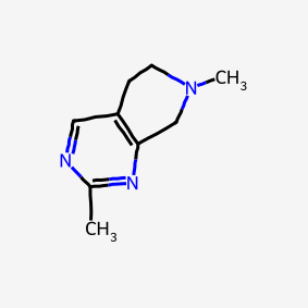 Cc1ncc2c(n1)CN(C)CC2